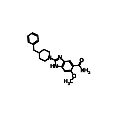 COc1cc2[nH]c(N3CCC(Cc4ccccc4)CC3)nc2cc1C(N)=O